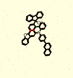 CC1(c2ccccc2-c2ccccc2N(c2ccc(-c3ccc4ccccc4c3)cc2)c2ccc3oc4ccccc4c3c2)c2ccccc2-c2ccccc21